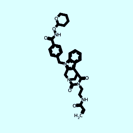 C=CC(=O)NCCN1C(=O)C2CN(Cc3c2c2ccccc2n3Cc2ccc(C(=O)NOC3CCCCO3)cc2)C1=O